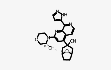 C[C@@H]1COCCN1c1cc(C2(C#N)CC3CCC(C2)O3)c2ccnc(-c3ccn[nH]3)c2n1